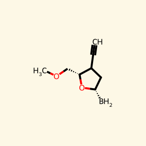 B[C@H]1CC(C#C)[C@@H](COC)O1